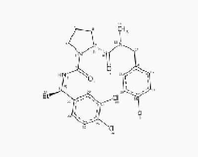 CC[C@@H](NC(=O)N1CCC[C@@H]1C(=O)N(C)Cc1ccc(Cl)cc1)c1ccc(Cl)c(Cl)c1